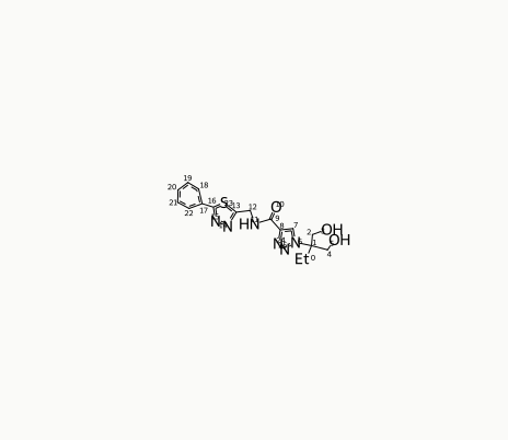 CCC(CO)(CO)n1cc(C(=O)NCc2nnc(-c3ccccc3)s2)nn1